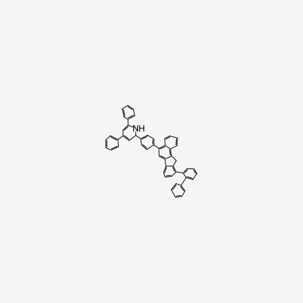 C1=C(c2ccccc2)C=C(c2ccccc2)NC1c1ccc(-c2cc3c(c4ccccc24)Cc2c(-c4ccccc4-c4ccccc4)cccc2-3)cc1